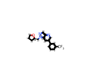 FC(F)(F)c1cccc(-c2cnc3cnn(C[C@H]4CCCO4)c3c2)c1